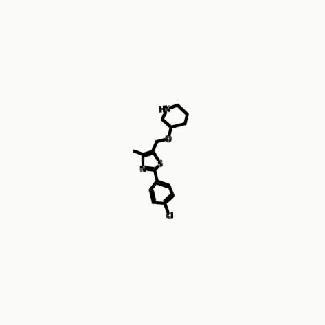 Cc1nc(-c2ccc(Cl)cc2)sc1COC1CCCNC1